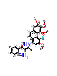 COc1cc(N/C(C)=C\C(=O)c2ccccc2N)c(/C=C\c2cc(OC)c(OC)c(OC)c2)cc1F